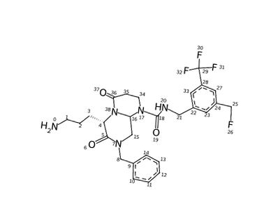 NCCC[C@H]1C(=O)N(Cc2ccccc2)CC2N(C(=O)NCc3cc(CF)cc(C(F)(F)F)c3)CCC(=O)N21